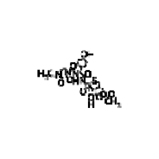 CCN1CCN(C(=O)NC(C(=O)NC2C(=O)N3C(C(=O)O)=C(COC(C)=O)CSC23)c2ccc(O)cc2)C(=O)C1=O